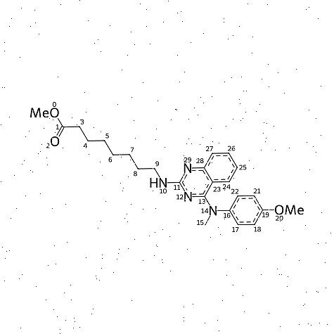 COC(=O)CCCCCCCNc1nc(N(C)c2ccc(OC)cc2)c2ccccc2n1